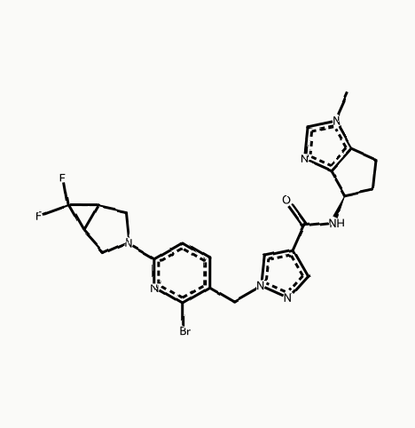 Cn1cnc2c1CC[C@H]2NC(=O)c1cnn(Cc2ccc(N3CC4C(C3)C4(F)F)nc2Br)c1